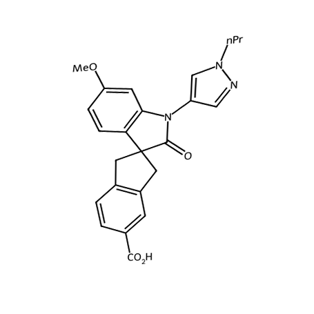 CCCn1cc(N2C(=O)C3(Cc4ccc(C(=O)O)cc4C3)c3ccc(OC)cc32)cn1